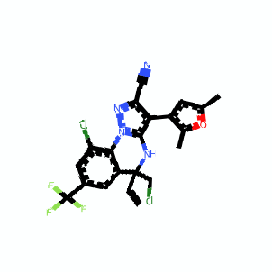 C=CC1(CCl)Nc2c(-c3cc(C)oc3C)c(C#N)nn2-c2c(Cl)cc(C(F)(F)F)cc21